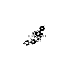 CN1CCN(c2ccc(Nc3nc(C4(S(N)(=O)=O)CC4)c4c(C(=O)c5ccc(F)cc5)c[nH]c4n3)cn2)CC1